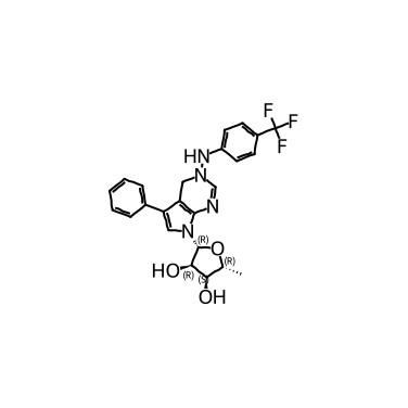 C[C@H]1O[C@@H](n2cc(-c3ccccc3)c3c2N=CN(Nc2ccc(C(F)(F)F)cc2)C3)[C@H](O)[C@@H]1O